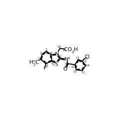 Cc1ccc2c(s/c(=N\C(=O)c3cccc(Cl)c3)n2CC(=O)O)c1F